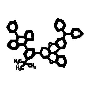 CC(C)(C)c1cc(-c2c3ccccc3c(-c3ccccc3)c3ccccc23)cc(C2C=C3Oc4ccccc4B4C3=C(C2)Oc2cc(N(c3ccccc3)c3ccccc3)ccc24)c1